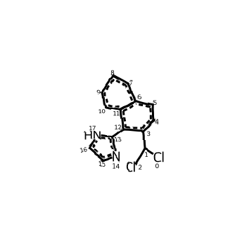 ClC(Cl)c1ccc2ccccc2c1-c1ncc[nH]1